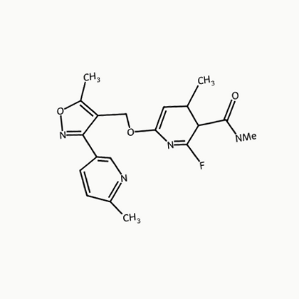 CNC(=O)C1C(F)=NC(OCc2c(-c3ccc(C)nc3)noc2C)=CC1C